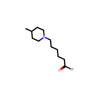 CCC(=O)CCCCCN1CCC(C)CC1